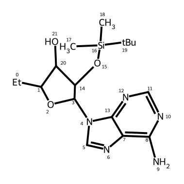 CCC1OC(n2cnc3c(N)ncnc32)C(O[Si](C)(C)C(C)(C)C)C1O